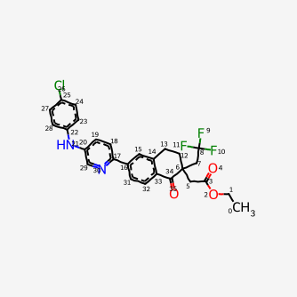 CCOC(=O)CC1(CC(F)(F)F)CCc2cc(-c3ccc(Nc4ccc(Cl)cc4)cn3)ccc2C1=O